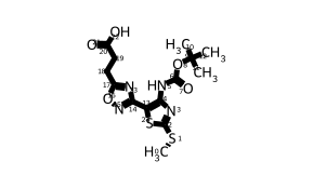 CSc1nc(NC(=O)OC(C)(C)C)c(-c2noc(CCC(=O)O)n2)s1